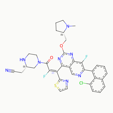 CN1CCC[C@H]1COc1nc(/C(=C(/F)C(=O)N2CCN[C@@H](CC#N)C2)c2nccs2)c2cnc(-c3cccc4cccc(Cl)c34)c(F)c2n1